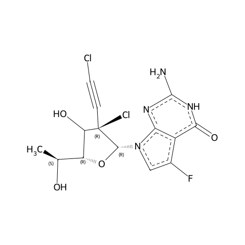 C[C@H](O)[C@H]1O[C@@H](n2cc(F)c3c(=O)[nH]c(N)nc32)[C@@](Cl)(C#CCl)C1O